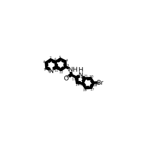 O=C(Nc1ccc2cccnc2c1)c1cc2ccc(Br)cc2[nH]1